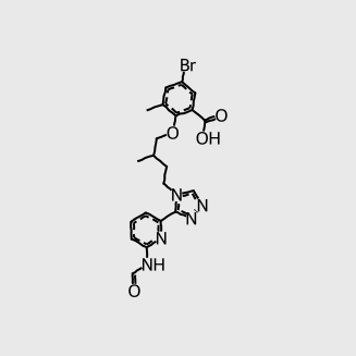 Cc1cc(Br)cc(C(=O)O)c1OCC(C)CCn1cnnc1-c1cccc(NC=O)n1